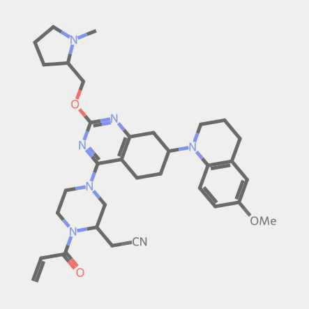 C=CC(=O)N1CCN(c2nc(OCC3CCCN3C)nc3c2CCC(N2CCCc4cc(OC)ccc42)C3)CC1CC#N